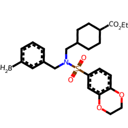 Bc1cccc(CN(CC2CCC(C(=O)OCC)CC2)S(=O)(=O)c2ccc3c(c2)OCCO3)c1